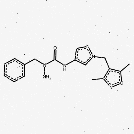 Cc1noc(C)c1Cn1cc(NC(=O)N(N)Cc2ccccc2)cn1